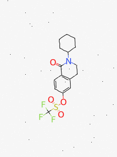 O=C1c2ccc(OS(=O)(=O)C(F)(F)F)cc2CCN1C1CCCCC1